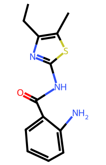 CCc1nc(NC(=O)c2ccccc2N)sc1C